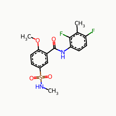 CNS(=O)(=O)c1ccc(OC)c(C(=O)Nc2ccc(F)c(C)c2F)c1